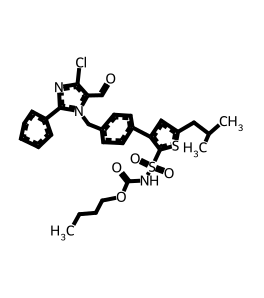 CCCCOC(=O)NS(=O)(=O)c1sc(CC(C)C)cc1-c1ccc(Cn2c(-c3ccccc3)nc(Cl)c2C=O)cc1